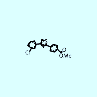 COC(=O)c1ccc(-c2nc(-c3cccc(Cl)c3)cs2)cc1